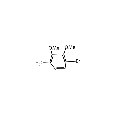 COc1c(Br)cnc(C)c1OC